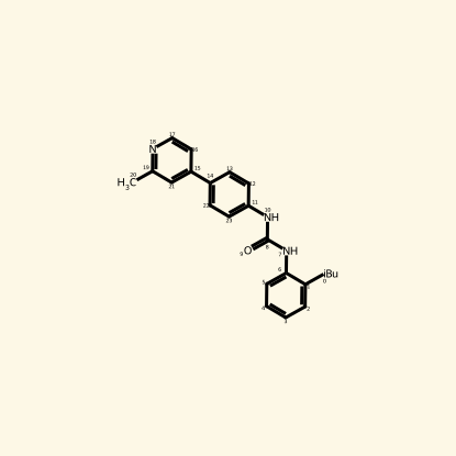 CCC(C)c1ccccc1NC(=O)Nc1ccc(-c2ccnc(C)c2)cc1